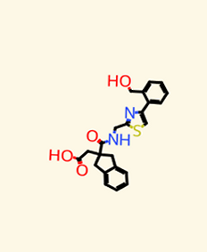 O=C(O)CC1(C(=O)NCc2nc(-c3ccccc3CO)cs2)Cc2ccccc2C1